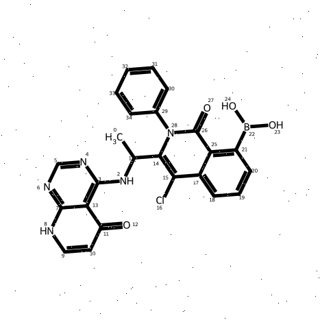 CC(Nc1ncnc2[nH]ccc(=O)c12)c1c(Cl)c2cccc(B(O)O)c2c(=O)n1-c1ccccc1